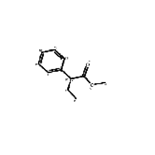 CC[C@H](C(=O)OC)c1ccccc1